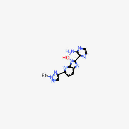 CCn1ncc(-c2ccc3nc(-c4nccnc4N)n(O)c3n2)n1